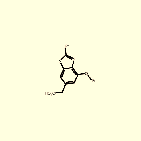 CC(C)Oc1cc(CC(=O)O)cc2sc(C(C)C)nc12